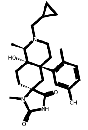 Cc1ccc(O)cc1[C@]12CCN(CC3CC3)[C@H](C)[C@]1(O)CC[C@]1(C2)C(=O)NC(=O)N1C